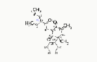 C=C/C=C(\C=C)C(=O)CN1C(=O)N(C)CC(C)(C2CCCCC2)C1=O